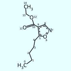 CCCCCc1oncc1C(=O)OCC